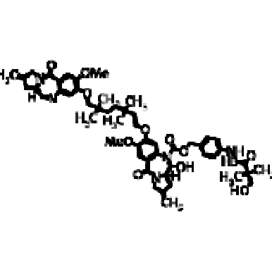 C=C1C[C@H]2C=Nc3cc(OCC(C)(C)CCC(C)(C)CCOc4cc5c(cc4OC)C(=O)N4CC(=C)C[C@H]4[C@H](O)N5C(=O)OCc4ccc(NBC(=O)C(C)(C)CO)cc4)c(OC)cc3C(=O)N2C1